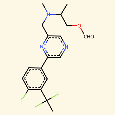 CC(COC=O)N(C)Cc1cncc(-c2ccc(F)c(C(C)(F)F)c2)n1